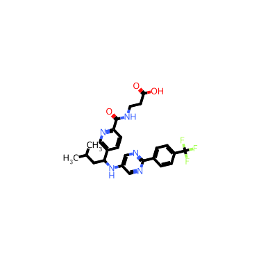 CC(C)CC(Nc1cnc(-c2ccc(C(F)(F)F)cc2)nc1)c1ccc(C(=O)NCCC(=O)O)nc1